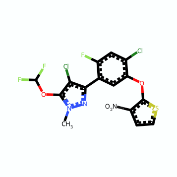 Cn1nc(-c2cc(Oc3sccc3[N+](=O)[O-])c(Cl)cc2F)c(Cl)c1OC(F)F